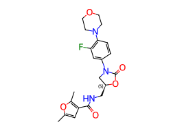 Cc1cc(C(=O)NC[C@H]2CN(c3ccc(N4CCOCC4)c(F)c3)C(=O)O2)c(C)o1